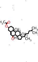 CC(=O)O[C@H]1CC[C@@]2(C)C(=CC(=O)C3C2CC[C@]2(C)C([C@H](C)CCCC(C)C)CC[C@@H]32)C1